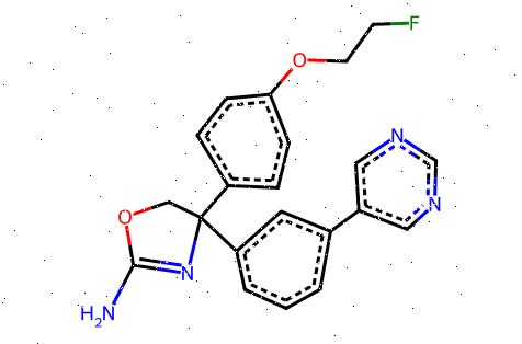 NC1=NC(c2ccc(OCCF)cc2)(c2cccc(-c3cncnc3)c2)CO1